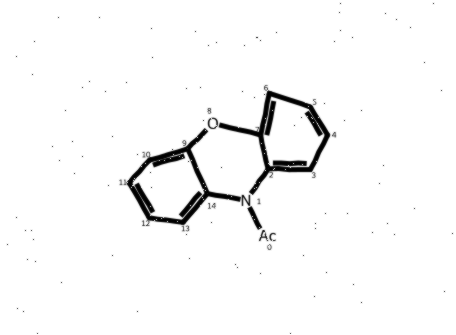 CC(=O)N1c2ccccc2Oc2ccccc21